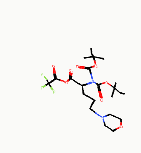 CC(C)(C)OC(=O)N(C(=O)OC(C)(C)C)[C@@H](CCCN1CCOCC1)C(=O)OC(=O)C(F)(F)F